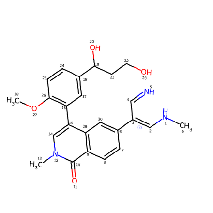 CN/C=C(\C=N)c1ccc2c(=O)n(C)cc(-c3cc(C(O)CCO)ccc3OC)c2c1